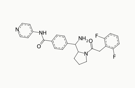 NC(c1ccc(C(=O)Nc2ccncc2)cc1)C1CCCN1C(=O)Cc1c(F)cccc1F